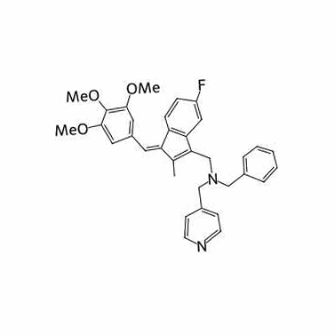 COc1cc(/C=C2/C(C)=C(CN(Cc3ccccc3)Cc3ccncc3)c3cc(F)ccc32)cc(OC)c1OC